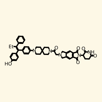 CCC(=C(c1ccc(O)cc1)c1ccc(N2CCC3(CCN(C(=O)CN4Cc5cc6c(cc5C4)C(=O)N(C4CCC(=O)NC4=O)C6=O)CC3)CC2)cc1)c1ccccc1